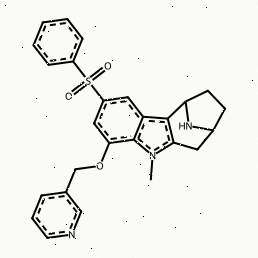 Cn1c2c(c3cc(S(=O)(=O)c4ccccc4)cc(OCc4cccnc4)c31)C1CCC(C2)N1